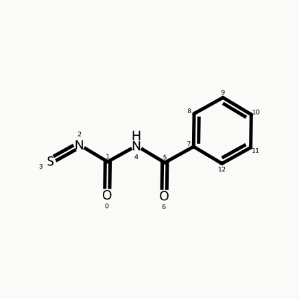 O=C(N=S)NC(=O)c1ccccc1